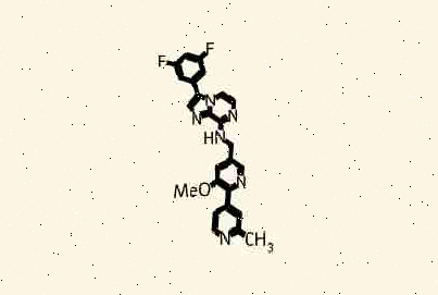 COc1cc(CNc2nccn3c(-c4cc(F)cc(F)c4)cnc23)cnc1-c1ccnc(C)c1